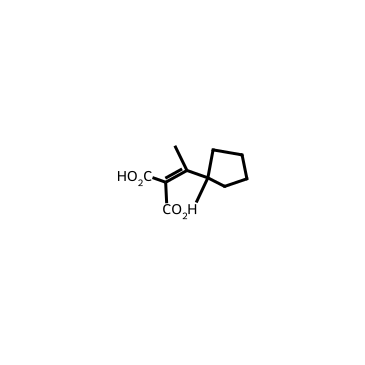 CC(=C(C(=O)O)C(=O)O)C1(C)CCCC1